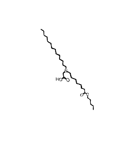 CCCCCCCCCCCCCCN(CCCCCCCC(=O)OCCCCC)CC(=O)O